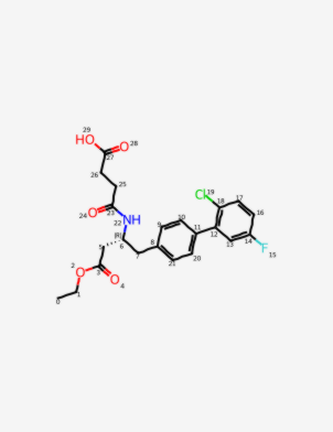 CCOC(=O)C[C@@H](Cc1ccc(-c2cc(F)ccc2Cl)cc1)NC(=O)CCC(=O)O